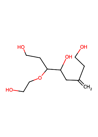 C=C(CCO)CC(O)C(CCO)OCCO